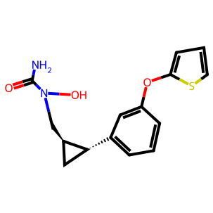 NC(=O)N(O)C[C@@H]1C[C@H]1c1cccc(Oc2cccs2)c1